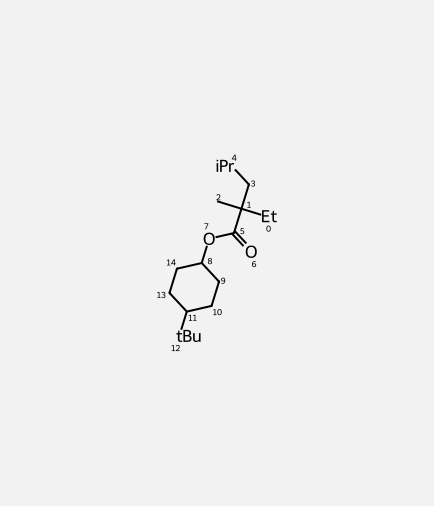 CCC(C)(CC(C)C)C(=O)OC1CCC(C(C)(C)C)CC1